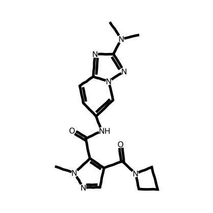 CN(C)c1nc2ccc(NC(=O)c3c(C(=O)N4CCC4)cnn3C)cn2n1